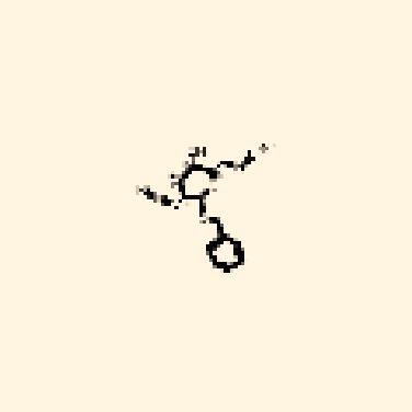 [N-]=[N+]=NC[C@H]1OC(OCc2ccccc2)[C@H](N=[N+]=[N-])[C@@H](F)[C@@H]1O